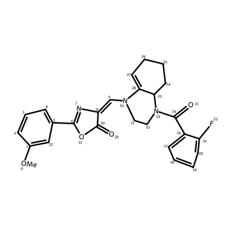 COc1cccc(C2=NC(=CN3CCN(C(=O)c4ccccc4F)C4CCCC=C43)C(=O)O2)c1